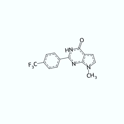 Cn1ccc2c(=O)[nH]c(-c3ccc(C(F)(F)F)cc3)nc21